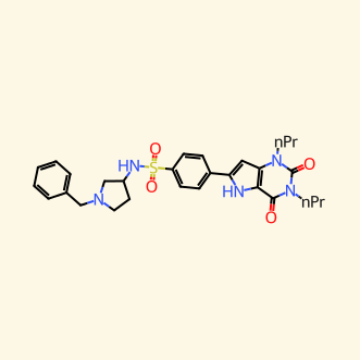 CCCn1c(=O)c2[nH]c(-c3ccc(S(=O)(=O)NC4CCN(Cc5ccccc5)C4)cc3)cc2n(CCC)c1=O